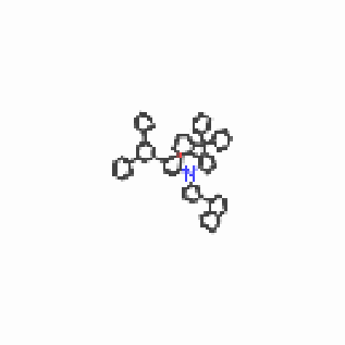 c1ccc(-c2cc(-c3ccccc3)cc(-c3ccc(N(c4cccc(-c5cccc6ccccc56)c4)c4cccc5c4-c4ccccc4C5(c4ccccc4)c4ccccc4)cc3)c2)cc1